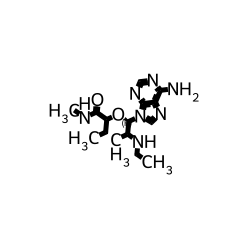 CCNC(C)[C@@H](OC(CC)C(=O)NC)n1cnc2c(N)ncnc21